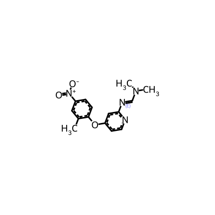 Cc1cc([N+](=O)[O-])ccc1Oc1ccnc(/N=C/N(C)C)c1